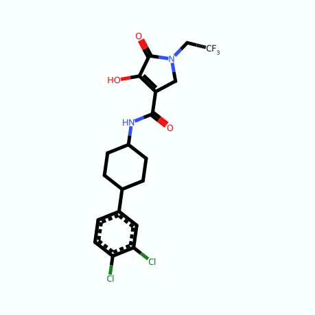 O=C(NC1CCC(c2ccc(Cl)c(Cl)c2)CC1)C1=C(O)C(=O)N(CC(F)(F)F)C1